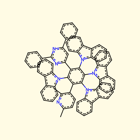 Cc1ccc(-c2c(-n3c4ccccc4c4ccccc43)c(-c3cc(-c4ccccc4)nc(-c4ccccc4)n3)c(-n3c4ccccc4c4ccccc43)c(-n3c4ccccc4c4ccccc43)c2-n2c3ccccc3c3ccccc32)c(C)n1